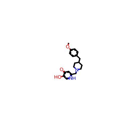 COc1ccc(CC2CCN(Cc3cc(=O)c(O)c[nH]3)CC2)cc1